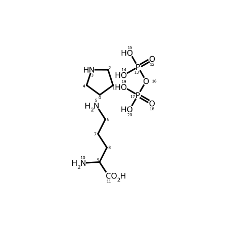 C1CCNC1.NCCCC(N)C(=O)O.O=P(O)(O)OP(=O)(O)O